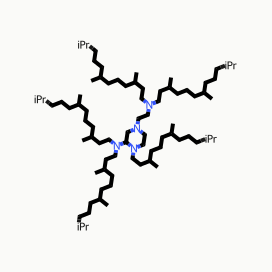 CC(C)CCCC(C)CCCC(C)CCN(CCC(C)CCCC(C)CCCC(C)C)CCN1CCN(CCC(C)CCCC(C)CCCC(C)C)C(N(CCC(C)CCCC(C)CCCC(C)C)CCC(C)CCCC(C)CCCC(C)C)C1